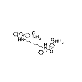 NC(=O)C1=CCN(C(=O)C(Cc2ccccc2)NCCCCCCCCCCNC(Cc2ccccc2)C(=O)N2C=CC(C(N)=O)=CC2)C=C1